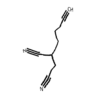 C#CCCC(C#N)CC#N